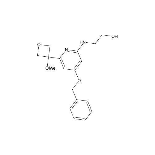 COC1(c2cc(OCc3ccccc3)cc(NCCO)n2)COC1